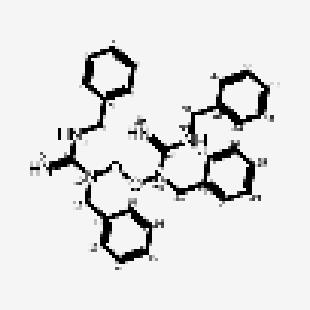 N=C(NCc1ccccc1)N(Cc1ccccc1)OON(Cc1ccccc1)C(=N)NCc1ccccc1